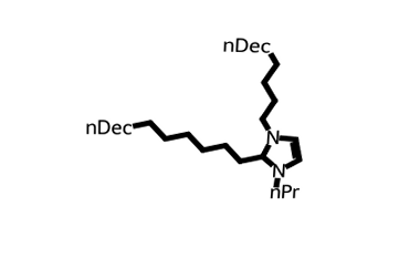 CCCCCCCCCCCCCCCCC1N(CCC)C=CN1CCCCCCCCCCCCCC